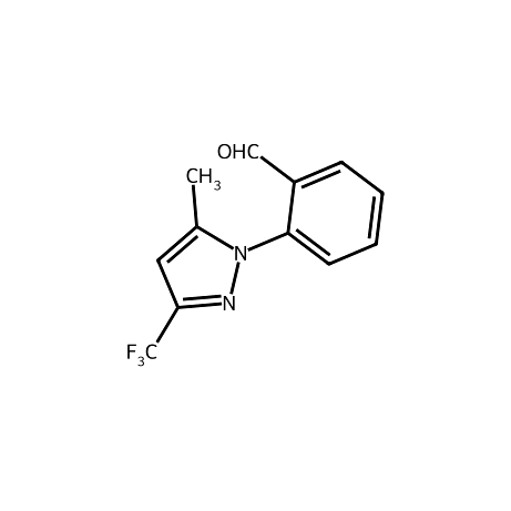 Cc1cc(C(F)(F)F)nn1-c1ccccc1C=O